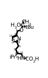 CC(C)[C@@H](CCc1nc(CO[Si](C)(C)C(C)(C)C)cs1)CNC(=O)O